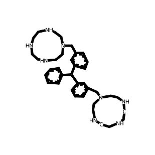 c1ccc(C(c2cccc(CN3CCNCCNCCNCC3)c2)c2cccc(CN3CCNCCNCCNCC3)c2)cc1